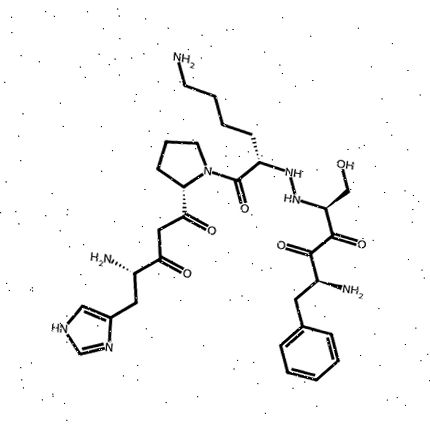 NCCCC[C@H](NN[C@@H](CO)C(=O)C(=O)[C@@H](N)Cc1ccccc1)C(=O)N1CCC[C@H]1C(=O)CC(=O)[C@@H](N)Cc1c[nH]cn1